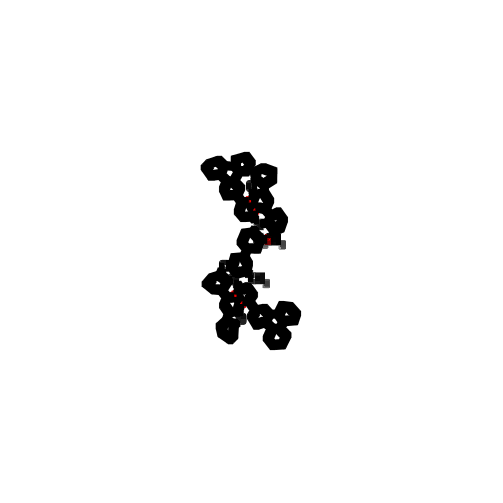 Cc1cc(-c2ccc(N(c3ccc(-c4ccc5c6ccccc6c6ccccc6c5c4)cc3)c3c(C)cccc3-c3ccc4oc5ccccc5c4c3)c(C)c2)ccc1N(c1ccc(-c2ccc3c4ccccc4c4ccccc4c3c2)cc1)c1c(C)cccc1-c1ccc2oc3ccccc3c2c1